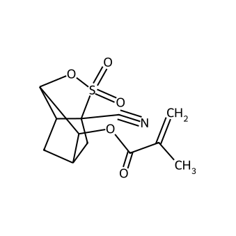 C=C(C)C(=O)OC1C2CC3C1OS(=O)(=O)C3(C#N)C2